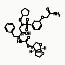 NC(=O)COc1cccc(S(=O)(=O)N(C[C@@H](O)[C@H](Cc2ccccc2)NC(=O)O[C@H]2CO[C@H]3OCC[C@H]32)OC2CCCC2)c1